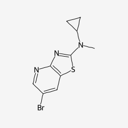 CN(c1nc2ncc(Br)cc2s1)C1CC1